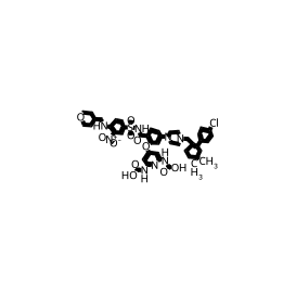 CC1(C)CCC(CN2CCN(c3ccc(C(=O)NS(=O)(=O)c4ccc(NCC5CCOCC5)c([N+](=O)[O-])c4)c(Oc4cc(NC(=O)O)nc(NC(=O)O)c4)c3)CC2)=C(c2ccc(Cl)cc2)C1